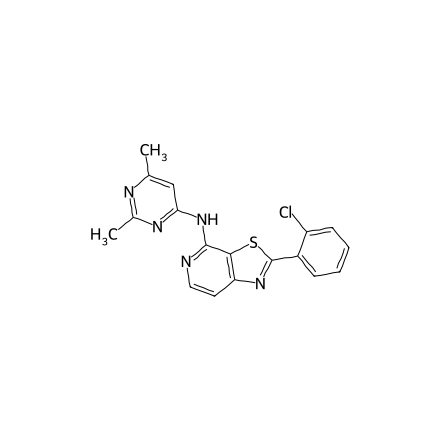 Cc1cc(Nc2nccc3nc(-c4ccccc4Cl)sc23)nc(C)n1